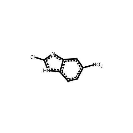 O=[N+]([O-])c1ccc2[nH]c(Cl)nc2c1